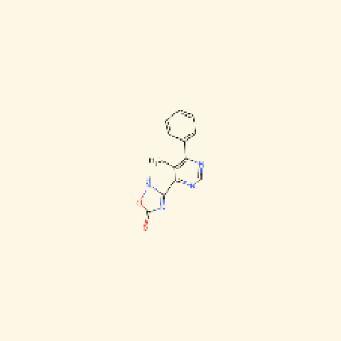 Cc1c(-c2ccccc2)ncnc1-c1nc(=O)o[nH]1